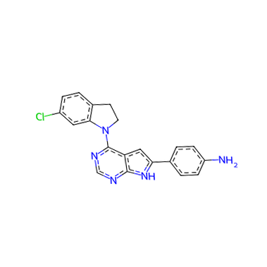 Nc1ccc(-c2cc3c(N4CCc5ccc(Cl)cc54)ncnc3[nH]2)cc1